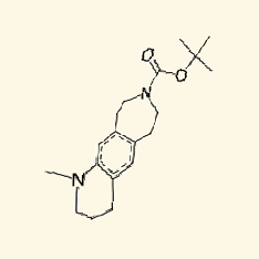 CN1CCCc2cc3c(cc21)CCN(C(=O)OC(C)(C)C)CC3